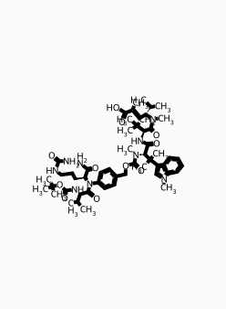 C/C(=C\[C@H](C(C)C)N(C)C(=O)[C@@H](NC(=O)[C@@H](N(C)C(=O)OCc1ccc(N(C(=O)[C@@H](NC(=O)OC(C)(C)C)C(C)C)[C@@H](CCCNC(N)=O)C(N)=O)cc1)C(C)(C)c1cn(C)c2ccccc12)C(C)(C)C)C(=O)O